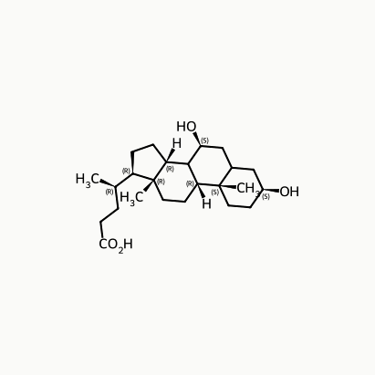 C[C@H](CCC(=O)O)[C@H]1CC[C@@H]2C3[C@@H](CC[C@@]21C)[C@@]1(C)CC[C@H](O)CC1C[C@@H]3O